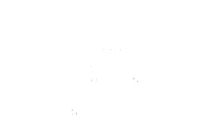 CC(COC#N)OC#N